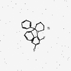 Fc1[c]c(F)c(N2CCCCC2(c2ccccc2)c2ccccc2)cc1.[Ti]